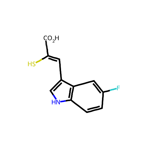 O=C(O)C(S)=Cc1c[nH]c2ccc(F)cc12